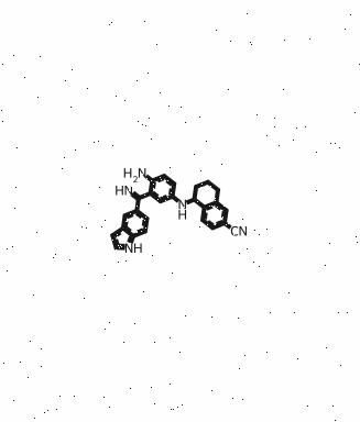 N#Cc1ccc2c(c1)CCCC2Nc1ccc(N)c(C(=N)c2ccc3[nH]ccc3c2)c1